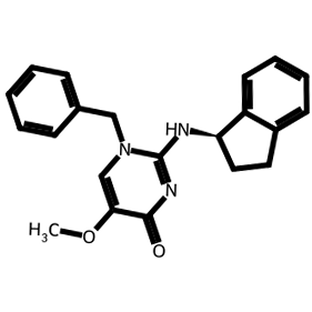 COc1cn(Cc2ccccc2)c(N[C@@H]2CCc3ccccc32)nc1=O